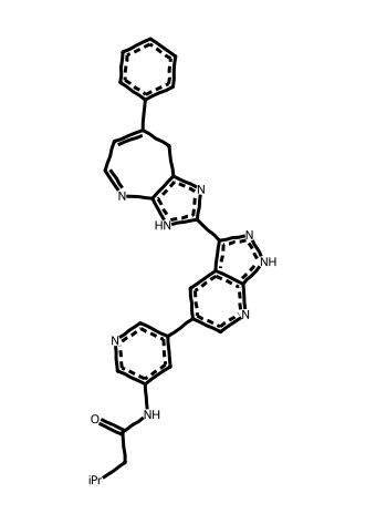 CC(C)CC(=O)Nc1cncc(-c2cnc3[nH]nc(-c4nc5c([nH]4)N=CC=C(c4ccccc4)C5)c3c2)c1